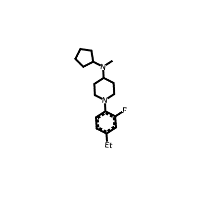 CCc1ccc(N2CCC(N(C)C3CCCC3)CC2)c(F)c1